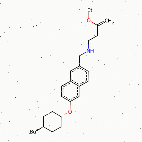 C=C(CCNCc1ccc2cc(O[C@H]3CC[C@H](C(C)(C)C)CC3)ccc2c1)OCC